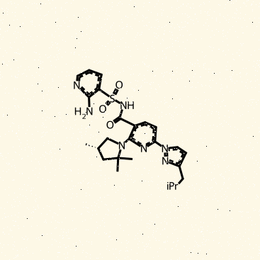 CC(C)Cc1ccn(-c2ccc(C(=O)NS(=O)(=O)c3cccnc3N)c(N3C[C@@H](C)CC3(C)C)n2)n1